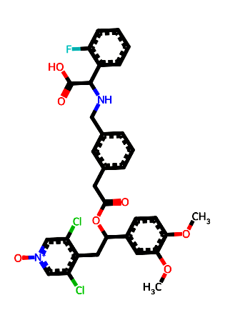 COc1ccc(C(Cc2c(Cl)c[n+]([O-])cc2Cl)OC(=O)Cc2cccc(CNC(C(=O)O)c3ccccc3F)c2)cc1OC